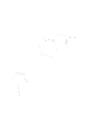 Cc1nc(C#Cc2ccc(OS(C)(=O)=O)nc2)cs1